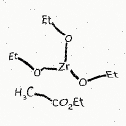 CCOC(C)=O.CC[O][Zr]([O]CC)[O]CC